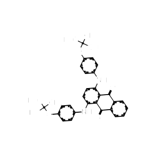 CC(C)(C)Oc1ccc(Nc2ccc(Nc3ccc(OC(C)(C)C)cc3)c3c2C(=O)c2ccccc2C3=O)cc1